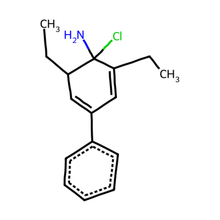 CCC1=CC(c2ccccc2)=CC(CC)C1(N)Cl